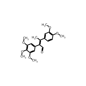 COc1ccc(C(C)=C(C=O)c2cc(OC)c(OC)c(OC)c2)cc1OC